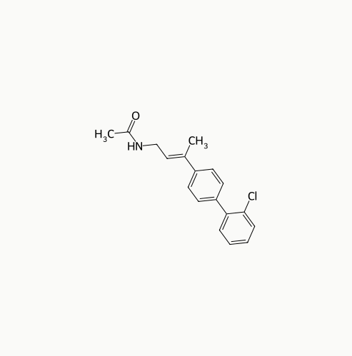 CC(=O)NCC=C(C)c1ccc(-c2ccccc2Cl)cc1